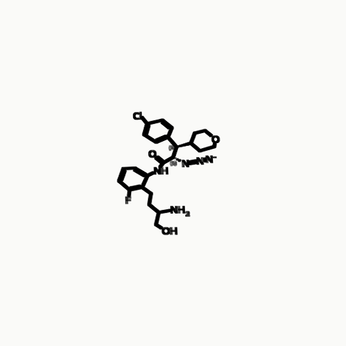 [N-]=[N+]=N[C@H](C(=O)Nc1cccc(F)c1CCC(N)CO)[C@@H](c1ccc(Cl)cc1)C1CCOCC1